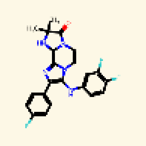 CC1(C)NC2c3nc(-c4ccc(F)cc4)c(Nc4ccc(F)c(F)c4)n3CCN2C1=O